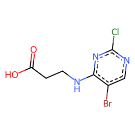 O=C(O)CCNc1nc(Cl)ncc1Br